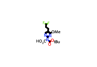 COc1nc(N(C(=O)O)C(=O)OC(C)(C)C)ncc1CCC(F)F